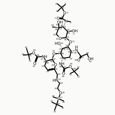 CN(C(=O)OC(C)(C)C)[C@@H]1[C@@H](O)[C@@H](O[C@@H]2[C@@H](O)[C@H](O[C@H]3OC(CNCCO[Si](C)(C)C(C)(C)C)=CC[C@H]3NC(=O)OC(C)(C)C)[C@@H](NC(=O)OC(C)(C)C)C[C@H]2NC(=O)CO)OC[C@]1(C)O